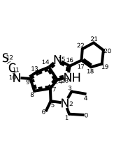 CCN(CC)C(C)c1cc(N=C=S)cc2nc(C3=CCCCC3)[nH]c12